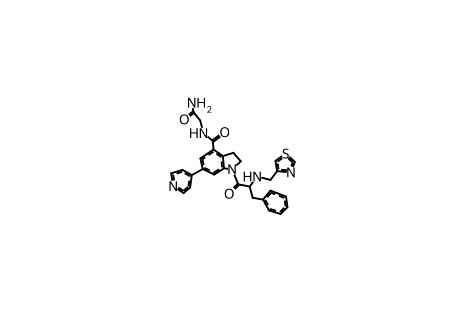 NC(=O)CNC(=O)c1cc(-c2ccncc2)cc2c1CCN2C(=O)C(Cc1ccccc1)NCc1cscn1